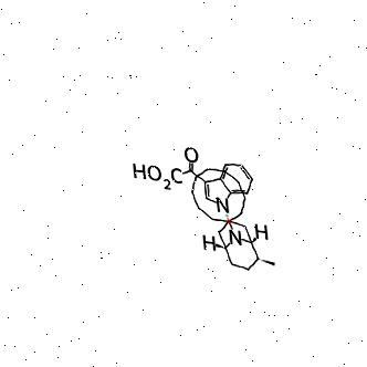 C[C@H]1CC[C@@H]2C[C@H](n3cc(C(=O)C(=O)O)c4ccccc43)C[C@H]1N2C1CCCCCCCCC1